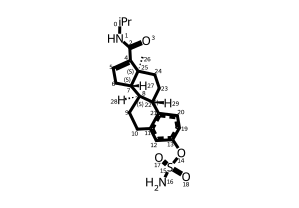 CC(C)NC(=O)C1=CC[C@H]2[C@@H]3CCc4cc(OS(N)(=O)=O)ccc4[C@H]3CC[C@]12C